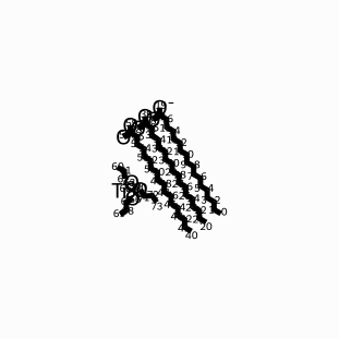 CCCCCCCCCCCCCCCCCC(=O)[O-].CCCCCCCCCCCCCCCCCC(=O)[O-].CCCCCCCCCCCCCCCCCC(=O)[O-].CCCO[Si]([Ti+3])(OCCC)OCCC